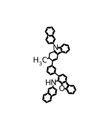 CC1Cc2c(c3ccccc3n2-c2ccc3ccccc3c2)C=C1c1cccc(-c2ccc3c(oc4ccccc43)c2Nc2ccc3ccccc3c2)c1